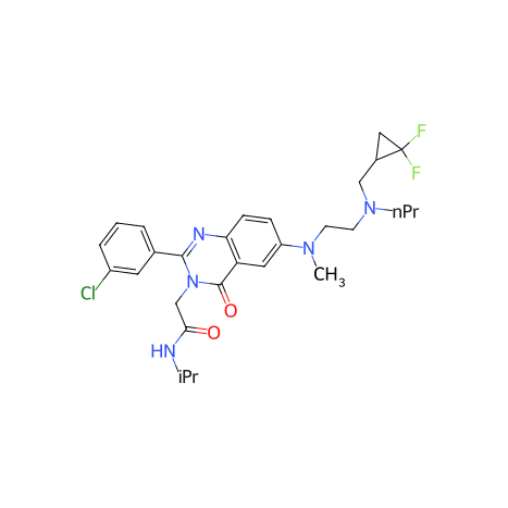 CCCN(CCN(C)c1ccc2nc(-c3cccc(Cl)c3)n(CC(=O)NC(C)C)c(=O)c2c1)CC1CC1(F)F